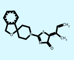 C=C/C(C)=C1\SC(N2CCC3(CC2)OCc2ccccc23)=NC1=O